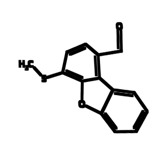 CSc1ccc(C=O)c2c1oc1ccccc12